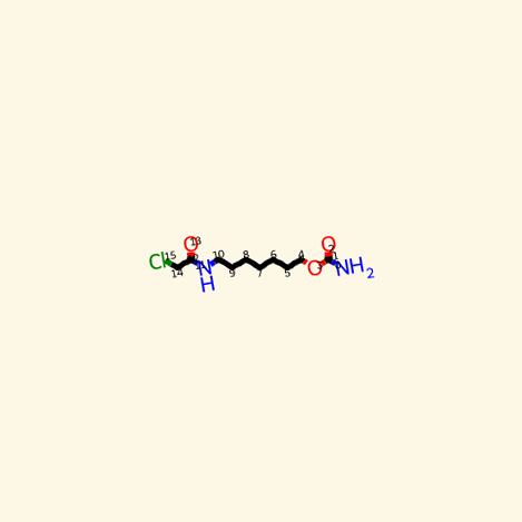 NC(=O)OCCCCCCCNC(=O)CCl